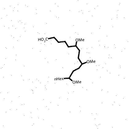 CCCCCCC(CCC(CCC(CCCCC(=O)O)OC)OC)OC